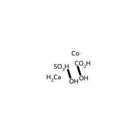 O=C(O)O.O=S(=O)(O)O.[CaH2].[Co]